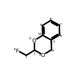 FCC1OCc2ccccc2O1